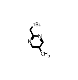 CCCCCc1ncc(C)cn1